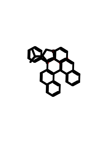 CC(C)[C@H]1COC(c2ccc3ccccc3c2-c2c(P(c3ccccc3)c3ccccc3)ccc3ccccc23)=N1